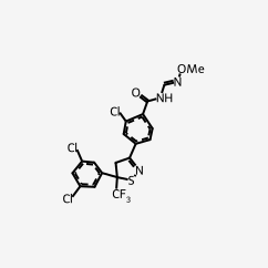 CO/N=C/NC(=O)c1ccc(C2=NSC(c3cc(Cl)cc(Cl)c3)(C(F)(F)F)C2)cc1Cl